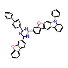 c1ccc(-c2ccc(-c3nc(-c4ccc5c(c4)oc4ccccc45)nc(-c4ccc5c(c4)oc4cc6c(cc45)c4ccccc4n6-c4ccccc4)n3)cc2)cc1